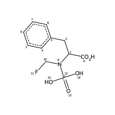 O=C(O)C(Cc1ccccc1)N(CF)P(=O)(O)O